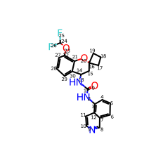 O=C(Nc1cccc2cnccc12)NC1CC2(CCC2)Oc2c(OC(F)F)cccc21